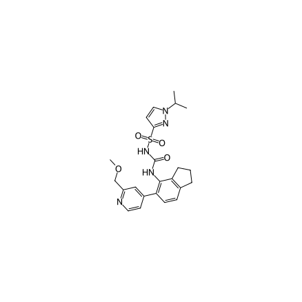 COCc1cc(-c2ccc3c(c2NC(=O)NS(=O)(=O)c2ccn(C(C)C)n2)CCC3)ccn1